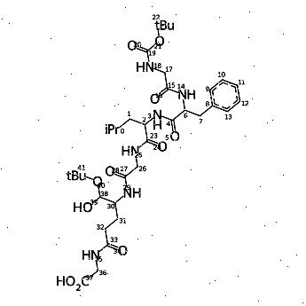 CC(C)CC(NC(=O)C(Cc1ccccc1)NC(=O)CNC(=O)OC(C)(C)C)C(=O)NCC(=O)NC(CCC(=O)NCC(=O)O)C(O)OC(C)(C)C